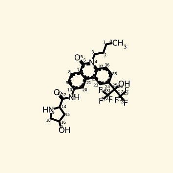 CCCCn1c(=O)c2ccc(NC(=O)C3CC(O)CN3)cc2c2cc(C(O)(C(F)(F)F)C(F)(F)F)ccc21